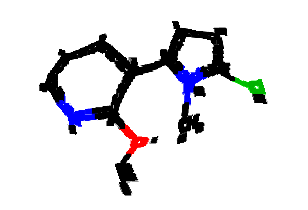 CCOc1ncccc1-c1ccc(Cl)n1C